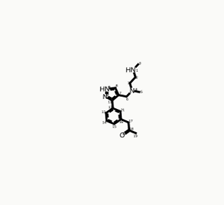 CNCCN(C)Cc1c[nH]nc1-c1cccc(CC(C)=O)c1